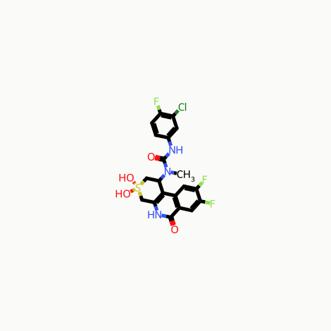 CN(C(=O)Nc1ccc(F)c(Cl)c1)C1CS(O)(O)Cc2[nH]c(=O)c3cc(F)c(F)cc3c21